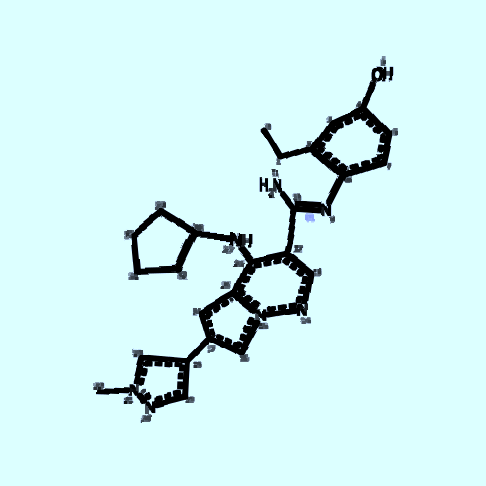 CCc1cc(O)ccc1/N=C(\N)c1cnn2cc(-c3cnn(C)c3)cc2c1NC1CCCC1